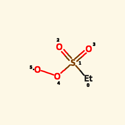 CCS(=O)(=O)O[O]